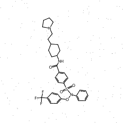 O=C(NC1CCC(CCN2CCCC2)CC1)c1ccc(S(=O)(=O)N(Oc2ccc(C(F)(F)F)cc2)c2ccccc2)cc1